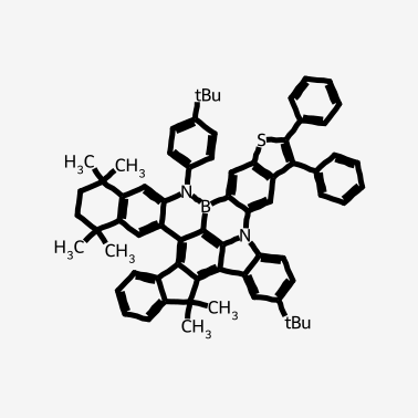 CC(C)(C)c1ccc(N2B3c4cc5sc(-c6ccccc6)c(-c6ccccc6)c5cc4-n4c5ccc(C(C)(C)C)cc5c5c6c(c(c3c54)-c3cc4c(cc32)C(C)(C)CCC4(C)C)-c2ccccc2C6(C)C)cc1